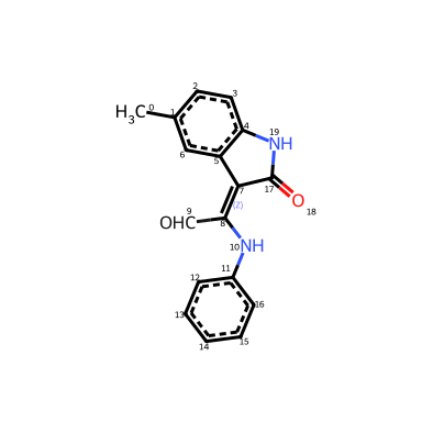 Cc1ccc2c(c1)/C(=C(\C=O)Nc1ccccc1)C(=O)N2